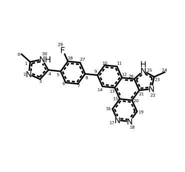 Cc1ncc(-c2ccc(-c3ccc4c(c3)c3cnncc3c3nc(C)[nH]c43)cc2F)[nH]1